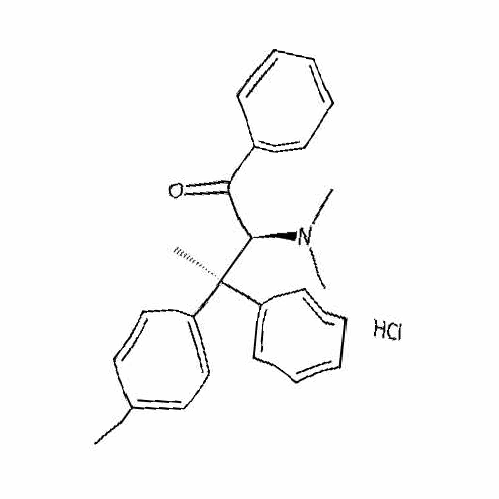 Cc1ccc([C@](C)(c2ccccc2)[C@@H](C(=O)c2ccccc2)N(C)C)cc1.Cl